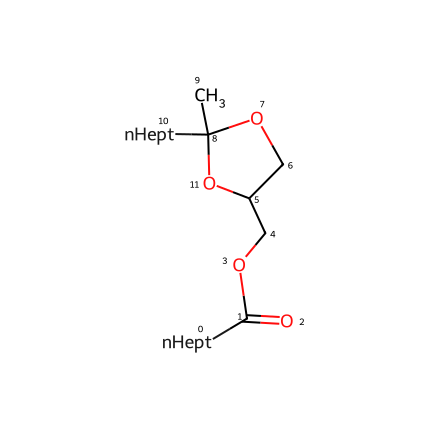 CCCCCCCC(=O)OCC1COC(C)(CCCCCCC)O1